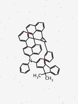 CC1(C)c2ccccc2-c2ccc(N(c3ccccc3)c3ccc4c5c(cccc35)C3(c5cc(-c6ccccc6)ccc5-c5cccc6cccc3c56)c3ccccc3-4)cc21